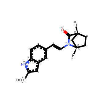 CCOC(=O)c1cc2cc(C=CN3C(=O)[C@@H]4CC[C@H]3C4)ccc2[nH]1